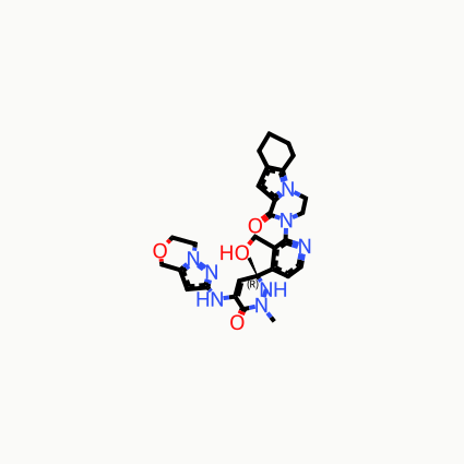 CN1N[C@@](C)(c2ccnc(N3CCn4c(cc5c4CCCC5)C3=O)c2CO)C=C(Nc2cc3n(n2)CCOC3)C1=O